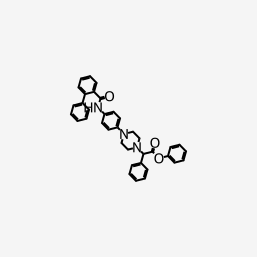 O=C(Nc1ccc(N2CCN(C(C(=O)Oc3ccccc3)c3ccccc3)CC2)cc1)c1ccccc1-c1ccccc1